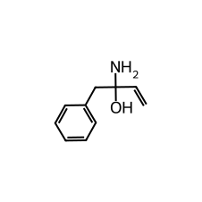 C=CC(N)(O)Cc1ccccc1